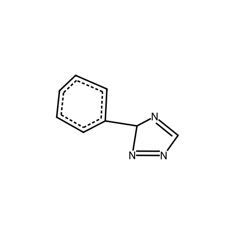 C1=NC(c2ccccc2)N=N1